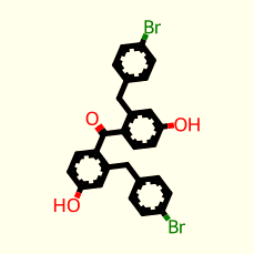 O=C(c1ccc(O)cc1Cc1ccc(Br)cc1)c1ccc(O)cc1Cc1ccc(Br)cc1